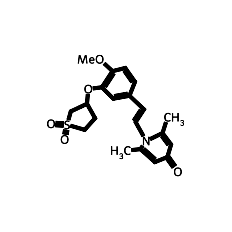 COc1ccc(/C=C/n2c(C)cc(=O)cc2C)cc1OC1CCS(=O)(=O)C1